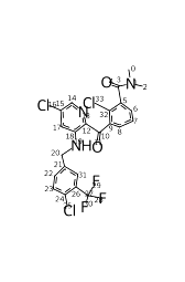 CN(C)C(=O)c1cccc(C(=O)c2ncc(Cl)cc2NCc2ccc(Cl)c(C(F)(F)F)c2)c1Cl